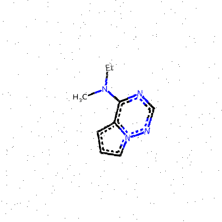 CCN(C)c1ncnn2cccc12